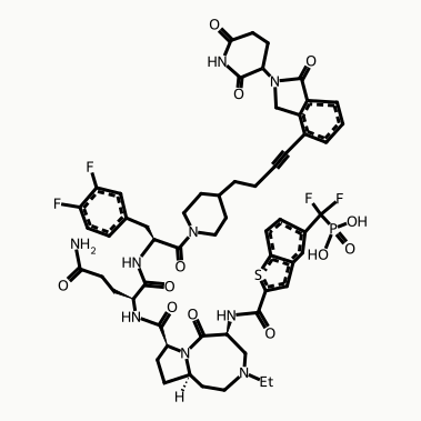 CCN1CC[C@H]2CC[C@@H](C(=O)N[C@@H](CCC(N)=O)C(=O)N[C@@H](Cc3ccc(F)c(F)c3)C(=O)N3CCC(CCC#Cc4cccc5c4CN(C4CCC(=O)NC4=O)C5=O)CC3)N2C(=O)[C@@H](NC(=O)c2cc3cc(C(F)(F)P(=O)(O)O)ccc3s2)C1